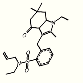 C=CCN(CC)S(=O)(=O)c1ccccc1CC1=C(C)N(CC)C2CC(C)(C)CC(=O)C12